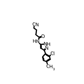 Cc1ccc(-c2cc(NC(=O)CCCC#N)[nH]n2)c(Cl)c1